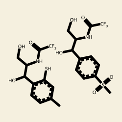 CS(=O)(=O)c1ccc(C(O)C(CO)NC(=O)C(F)(F)F)cc1.Cc1ccc(C(O)C(CO)NC(=O)C(F)(F)F)c(S)c1